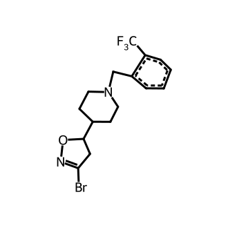 FC(F)(F)c1ccccc1CN1CCC(C2CC(Br)=NO2)CC1